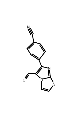 N#Cc1ccc(-c2nc3sccn3c2C=O)cc1